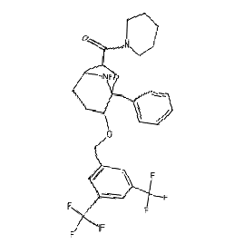 O=C(C1CC2(c3ccccc3)NC1CCC2OCc1cc(C(F)(F)F)cc(C(F)(F)F)c1)N1CCCCC1